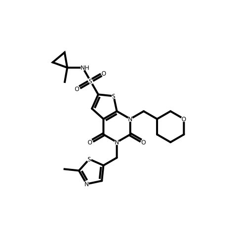 Cc1ncc(Cn2c(=O)c3cc(S(=O)(=O)NC4(C)CC4)sc3n(CC3CCCOC3)c2=O)s1